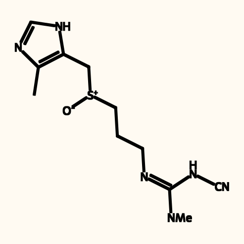 CN/C(=N/CCC[S+]([O-])Cc1[nH]cnc1C)NC#N